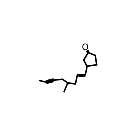 CC#CCC(C)C/C=C/C1CCC(=O)C1